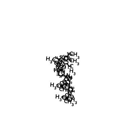 CCCCN(OS(=O)(=O)ON1C(=O)N2C[C@@H]1CC[C@H]2c1nnc(CN(C(=O)OC(C)(C)C)[C@@H]2CCN(C(=O)OC(C)(C)C)C2)o1)C(CCC)(CCCC)CCCC